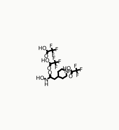 O=C(CC1CCNCC1)NO.O=C(O)C(F)(F)F.O=C(O)C(F)(F)F.O=C(O)C(F)(F)F